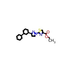 CCOC(=O)c1csc(-n2ccc(-c3cccc(-c4ccccc4)c3)n2)n1